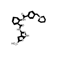 O=C(Nc1ccccc1C(=O)Nc1n[nH]c2sc(C(=O)O)cc12)c1ccc(CN2CCCCC2)cc1